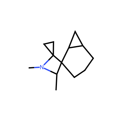 CC1N(C)C2(CC2)C12CCCC1CC12